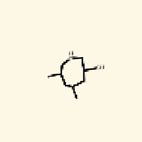 CC1CNCC(O)CC(C)C1